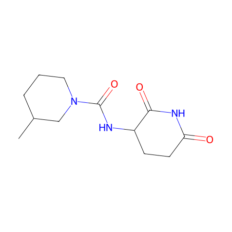 CC1CCCN(C(=O)NC2CCC(=O)NC2=O)C1